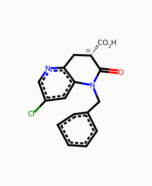 O=C(O)[C@H]1Cc2ncc(Cl)cc2N(Cc2ccccc2)C1=O